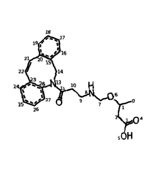 CC(CC(=O)O)OCNCCC(=O)N1Cc2ccccc2/C=C\c2ccccc21